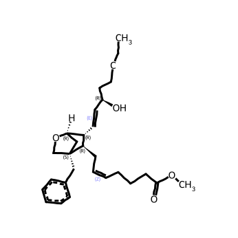 CCCCC[C@@H](O)/C=C/[C@@H]1[C@@H](C/C=C\CCCC(=O)OC)[C@@]2(Cc3ccccc3)CO[C@@H]1C2